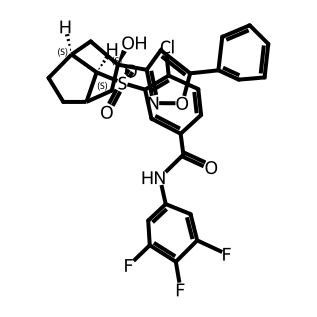 O=C(Nc1cc(F)c(F)c(F)c1)c1ccc(Cl)c(S(=O)(=O)[C@H]2C3CC[C@H]2C[C@](O)(c2cc(-c4ccccc4)on2)C3)c1